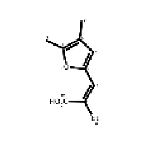 CCC(=Cc1cc(C)c(C)o1)C(=O)O